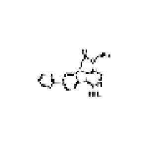 CCCCOC(=O)Cn1c2cc(-c3ccccc3)ccc2c2c(N)ncnc21